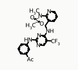 CC(=O)c1cccc(Nc2ncc(C(F)(F)F)c(NCc3cccnc3N(C)S(C)(=O)=O)n2)c1